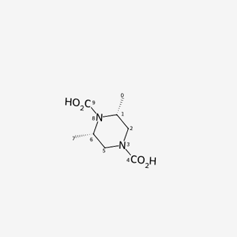 C[C@@H]1CN(C(=O)O)C[C@H](C)N1C(=O)O